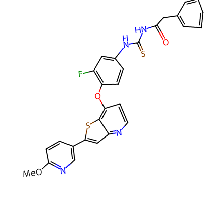 COc1ccc(-c2cc3nccc(Oc4ccc(NC(=S)NC(=O)Cc5ccccc5)cc4F)c3s2)cn1